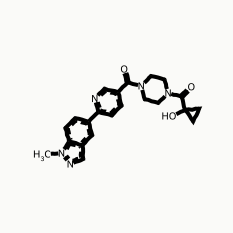 Cn1ncc2cc(-c3ccc(C(=O)N4CCN(C(=O)C5(O)CC5)CC4)cn3)ccc21